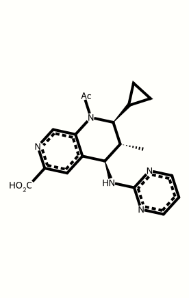 CC(=O)N1c2cnc(C(=O)O)cc2[C@H](Nc2ncccn2)[C@@H](C)[C@@H]1C1CC1